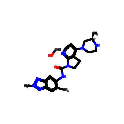 Cc1cc2nn(C)nc2cc1NC(=O)N1CCc2c(N3CCN[C@@H](C)C3)ccnc21.O=CO